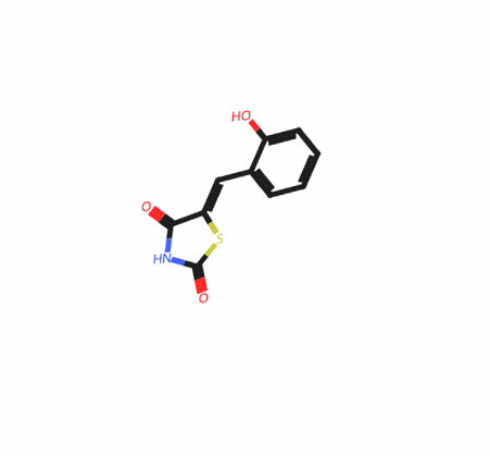 O=C1NC(=O)/C(=C/c2ccccc2O)S1